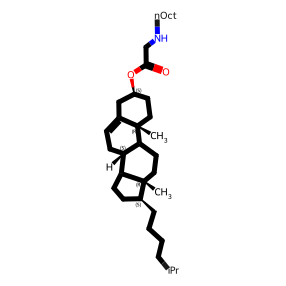 CCCCCCCCNCC(=O)O[C@H]1CC[C@@]2(C)C(=CC[C@@H]3C2CC[C@@]2(C)C3CC[C@@H]2CCCCC(C)C)C1